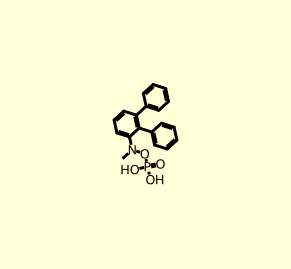 CN(OP(=O)(O)O)c1cccc(-c2ccccc2)c1-c1ccccc1